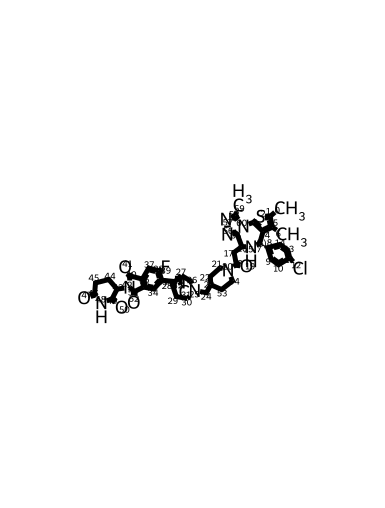 Cc1sc2c(c1C)[C@H](c1ccc(Cl)cc1)NC(CC(=O)N1CCC(CN3CC4CCC3CN4c3cc4c(cc3F)C(=O)N(C3CCC(=O)NC3=O)C4=O)CC1)c1nnc(C)n1-2